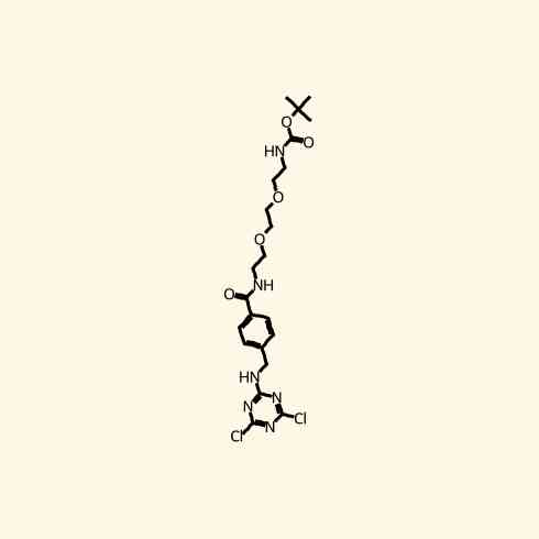 CC(C)(C)OC(=O)NCCOCCOCCNC(=O)c1ccc(CNc2nc(Cl)nc(Cl)n2)cc1